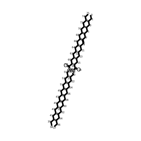 CCCCCCCCC=CCCCCCCCC(=O)NCCCCCCCCCCCCCCCCCC.CCCCCCCCCCCCCCCCCCNC(=O)CCCCCCCCCCCCCCCCC